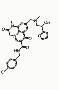 CN(Cc1cc2c3c(c1)c(=O)c(C(=O)NCc1ccc(Cl)cc1)cn3CC(=O)N2C)C[C@@H](O)c1ccco1